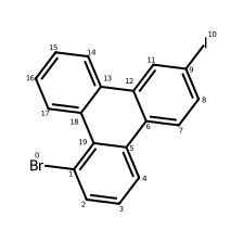 Brc1cccc2c3ccc(I)cc3c3ccccc3c12